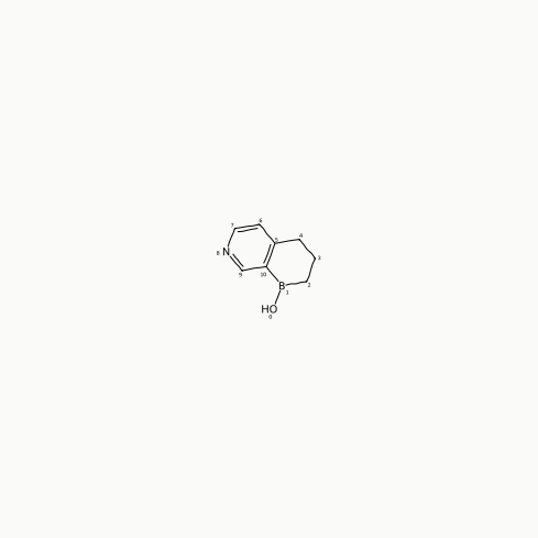 OB1CCCc2ccncc21